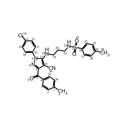 Cc1ccc(C(=O)c2nn(-c3ccc(Cl)cc3)c(NCCCNS(=O)(=O)c3ccc(C)cc3)c2C#N)cc1